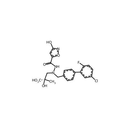 C[C@@](O)(CN(Cc1ccc(-c2cc(Cl)ccc2F)cc1)NC(=O)c1cc(O)no1)C(=O)O